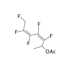 CC(=O)OC(C)/C(F)=C(F)\C(F)=C(\F)CF